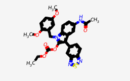 CCOC(=O)Oc1c(-c2ccc3nsnc3c2)c2cc(NC(C)=O)ccc2n1Cc1cc(OC)ccc1OC